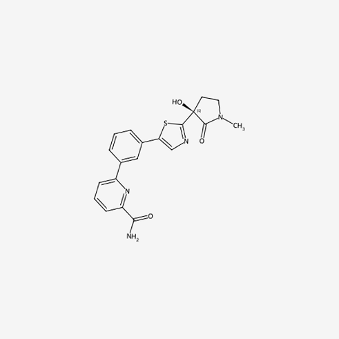 CN1CC[C@@](O)(c2ncc(-c3cccc(-c4cccc(C(N)=O)n4)c3)s2)C1=O